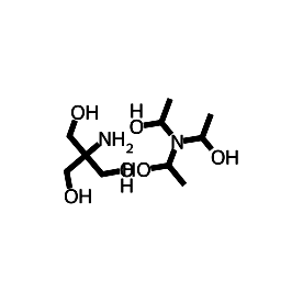 CC(O)N(C(C)O)C(C)O.NC(CO)(CO)CO